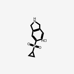 Cl.O=S(=O)(c1ccc2c(c1)CNC2)C1CC1